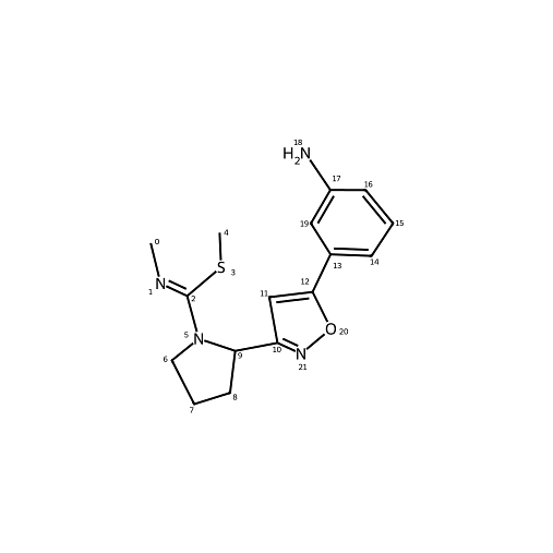 C/N=C(\SC)N1CCCC1c1cc(-c2cccc(N)c2)on1